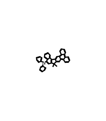 CC1(C)c2cc3c4ccccc4c4ccccc4c3cc2-c2c1cc(N(c1ccccc1)c1ccccc1)c1ccccc21